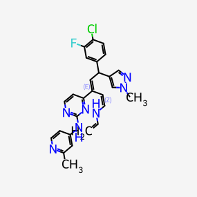 C=CN/C=C\C(=C/C(c1ccc(Cl)c(F)c1)c1cnn(C)c1)c1ccnc(Nc2ccnc(C)c2)n1